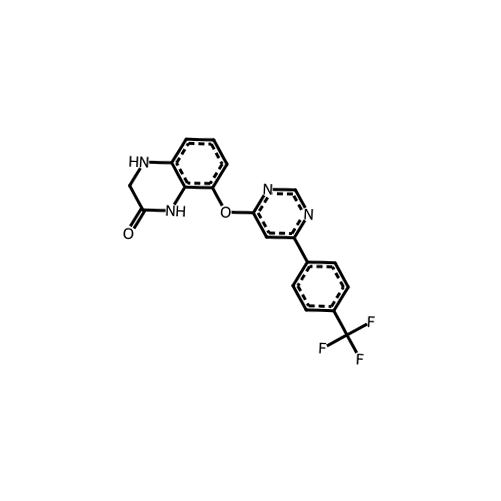 O=C1CNc2cccc(Oc3cc(-c4ccc(C(F)(F)F)cc4)ncn3)c2N1